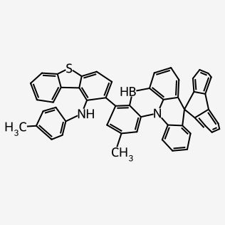 Cc1ccc(Nc2c(-c3cc(C)cc4c3Bc3cccc5c3N4c3ccccc3C53c4ccccc4-c4ccccc43)ccc3sc4ccccc4c23)cc1